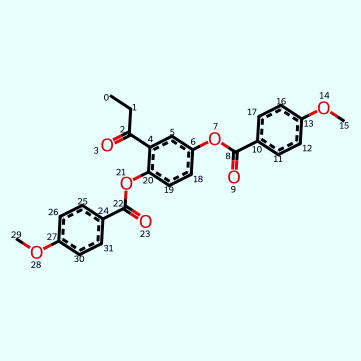 CCC(=O)c1cc(OC(=O)c2ccc(OC)cc2)ccc1OC(=O)c1ccc(OC)cc1